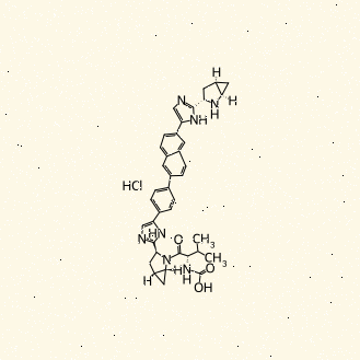 CC(C)[C@H](NC(=O)O)C(=O)N1[C@@H]2C[C@@H]2C[C@H]1c1ncc(-c2ccc(-c3ccc4cc(-c5cnc([C@@H]6C[C@H]7C[C@H]7N6)[nH]5)ccc4c3)cc2)[nH]1.Cl